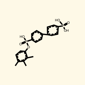 Cc1ccc(OP(=O)(O)c2ccc(-c3ccc(P(=O)(O)O)cc3)cc2)c(C)c1C